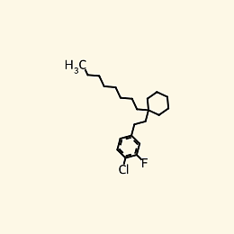 CCCCCCCCC1(CCc2ccc(Cl)c(F)c2)CCCCC1